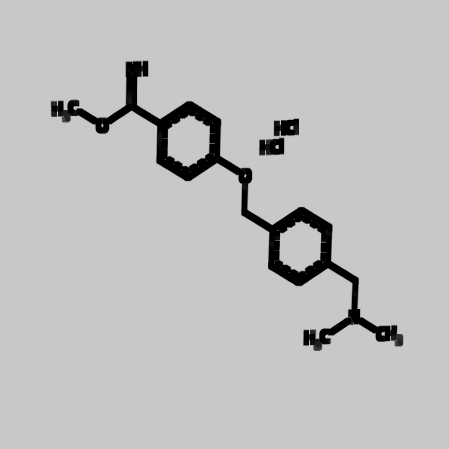 COC(=N)c1ccc(OCc2ccc(CN(C)C)cc2)cc1.Cl.Cl